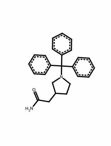 NC(=O)CC1CCN(C(c2ccccc2)(c2ccccc2)c2ccccc2)C1